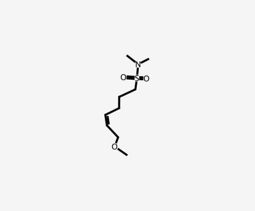 COC/C=C\CCCS(=O)(=O)N(C)C